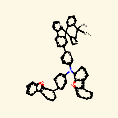 CC1(C)c2ccccc2C2(c3ccccc3-c3ccc(-c4ccc(N(c5ccc(-c6cccc7c6oc6ccccc67)cc5)c5cccc6c5oc5ccccc56)cc4)cc32)c2ccccc21